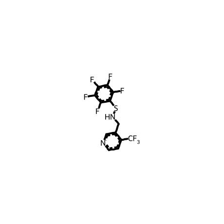 Fc1c(F)c(F)c(SNCc2cnccc2C(F)(F)F)c(F)c1F